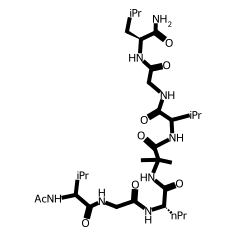 CCC[C@H](NC(=O)CNC(=O)C(NC(C)=O)C(C)C)C(=O)NC(C)(C)C(=O)NC(C(=O)NCC(=O)N[C@@H](CC(C)C)C(N)=O)C(C)C